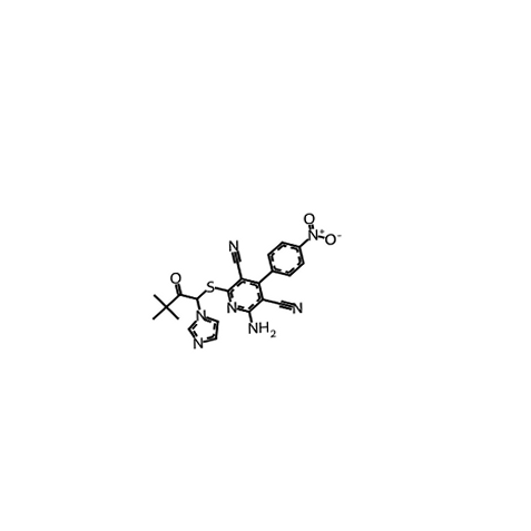 CC(C)(C)C(=O)C(Sc1nc(N)c(C#N)c(-c2ccc([N+](=O)[O-])cc2)c1C#N)n1ccnc1